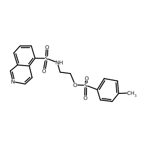 Cc1ccc(S(=O)(=O)OCCNS(=O)(=O)c2cccc3cnccc23)cc1